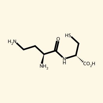 NCC[C@H](N)C(=O)N[C@H](CS)C(=O)O